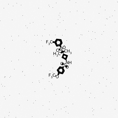 CC(C)([C@H]1C[C@H](NS(=O)(=O)c2ccc(OC(F)(F)F)cc2)C1)S(=O)(=O)c1cccc(C(F)(F)F)c1